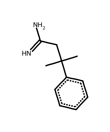 CC(C)(CC(=N)N)c1ccccc1